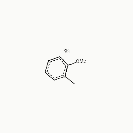 [CH2]c1ccccc1OC.[KH]